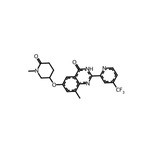 Cc1cc(OC2CCC(=O)N(C)C2)cc2c(=O)[nH]c(-c3cc(C(F)(F)F)ccn3)nc12